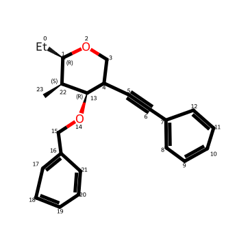 CC[C@H]1OCC(C#Cc2ccccc2)[C@@H](OCc2ccccc2)[C@H]1C